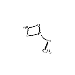 CPP1OBO1